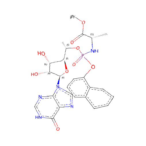 CC(C)OC(=O)[C@H](C)NP(=O)(Oc1cccc2ccccc12)O[C@@H](C)[C@H]1O[C@@H](n2cnc3c(=O)[nH]cnc32)[C@H](O)[C@@H]1O